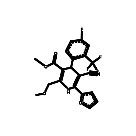 COCC1=C(C(=O)OC)C(c2ccc(F)cc2C(F)(F)F)C(C#N)=C(c2ccco2)N1